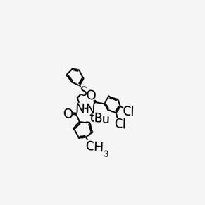 Cc1ccc(C(=O)N(CSc2ccccc2)N(C(=O)c2ccc(Cl)c(Cl)c2)C(C)(C)C)cc1